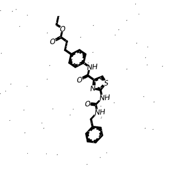 CCOC(=O)CCc1ccc(NC(=O)c2csc(NC(=O)NCc3ccccc3)n2)cc1